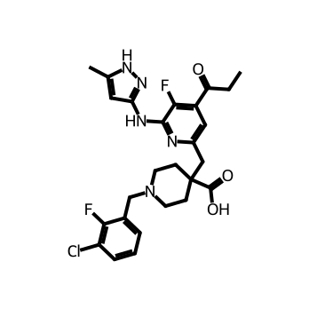 CCC(=O)c1cc(CC2(C(=O)O)CCN(Cc3cccc(Cl)c3F)CC2)nc(Nc2cc(C)[nH]n2)c1F